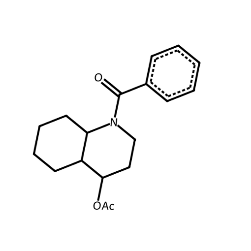 CC(=O)OC1CCN(C(=O)c2ccccc2)C2CCCCC12